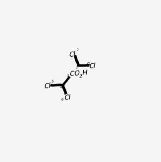 ClCCl.O=C(O)C(Cl)Cl